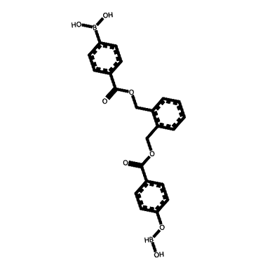 O=C(OCc1ccccc1COC(=O)c1ccc(B(O)O)cc1)c1ccc(OBO)cc1